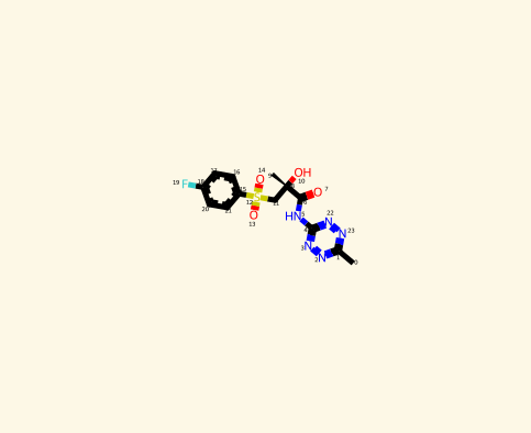 Cc1nnc(NC(=O)[C@@](C)(O)CS(=O)(=O)c2ccc(F)cc2)nn1